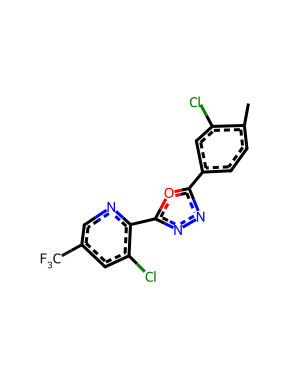 Cc1ccc(-c2nnc(-c3ncc(C(F)(F)F)cc3Cl)o2)cc1Cl